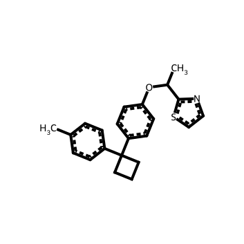 Cc1ccc(C2(c3ccc(OC(C)c4nccs4)cc3)CCC2)cc1